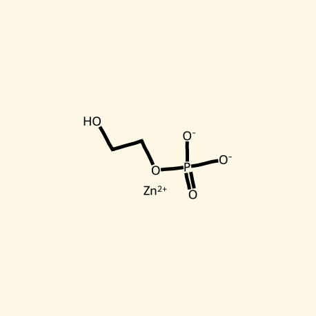 O=P([O-])([O-])OCCO.[Zn+2]